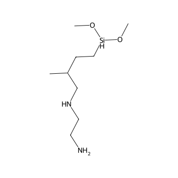 CO[SiH](CCC(C)CNCCN)OC